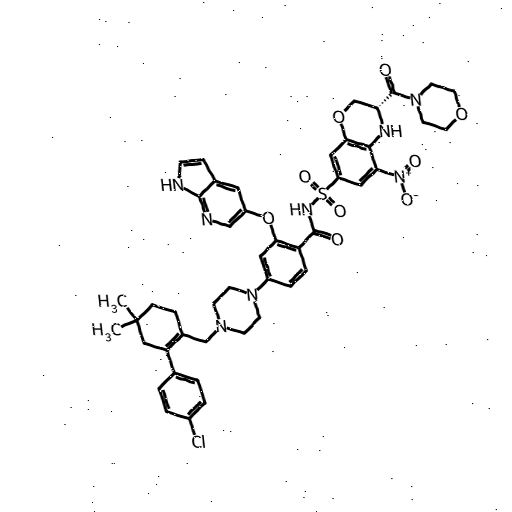 CC1(C)CCC(CN2CCN(c3ccc(C(=O)NS(=O)(=O)c4cc5c(c([N+](=O)[O-])c4)N[C@@H](C(=O)N4CCOCC4)CO5)c(Oc4cnc5[nH]ccc5c4)c3)CC2)=C(c2ccc(Cl)cc2)C1